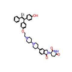 CC/C(=C(\c1ccc(O)cc1)c1ccc(OCCN2CCC(N3CCC(c4ccc5c(c4)CN(C4CCC(=O)NC4=O)C5=O)CC3)CC2)cc1)c1ccccc1